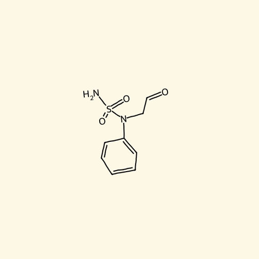 NS(=O)(=O)N(CC=O)c1ccccc1